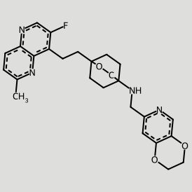 Cc1ccc2ncc(F)c(CCC34CCC(NCc5cc6c(cn5)OCCO6)(CC3)CO4)c2n1